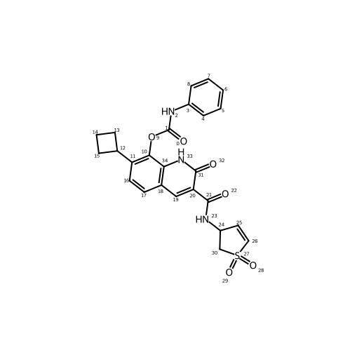 O=C(Nc1ccccc1)Oc1c(C2CCC2)ccc2cc(C(=O)NC3C=CS(=O)(=O)C3)c(=O)[nH]c12